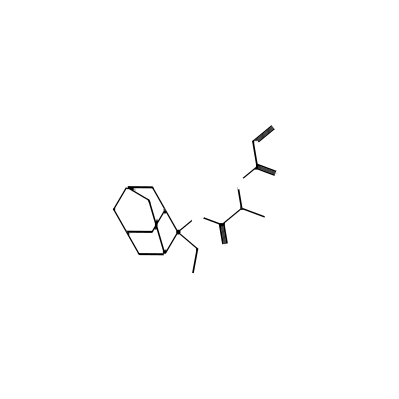 C=CC(=O)OC(C)C(=O)OC1(CC)C2CC3CC(C2)CC1C3